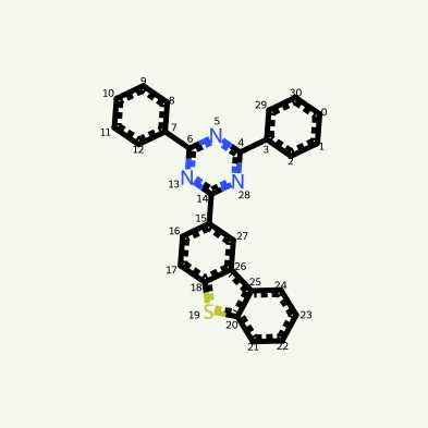 c1ccc(-c2nc(-c3ccccc3)nc(-c3ccc4sc5ccccc5c4c3)n2)cc1